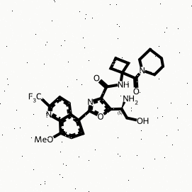 COc1ccc(-c2nc(C(=O)NC3(C(=O)N4CCCCC4)CCC3)c([C@@H](N)CO)o2)c2ccc(C(F)(F)F)nc12